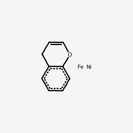 C1=COc2ccccc2C1.[Fe].[Ni]